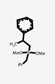 CO[Si](CC(C)C)(CC(C)c1ccccc1)OC